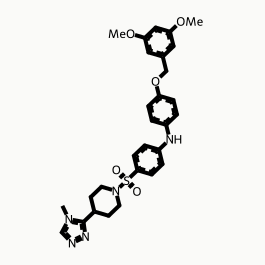 COc1cc(COc2ccc(Nc3ccc(S(=O)(=O)N4CCC(c5nncn5C)CC4)cc3)cc2)cc(OC)c1